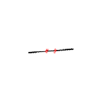 CCCCCCCCCCCCCCCCCCCCCCOC(=O)CCCCCCCCC(=O)OCCCCCCCCCCCCCCCCCCCCCC